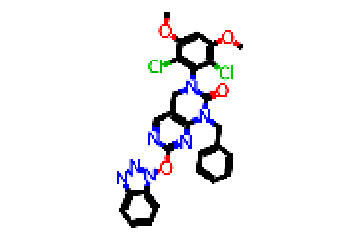 COc1cc(OC)c(Cl)c(N2Cc3cnc(On4nnc5ccccc54)nc3N(Cc3ccccc3)C2=O)c1Cl